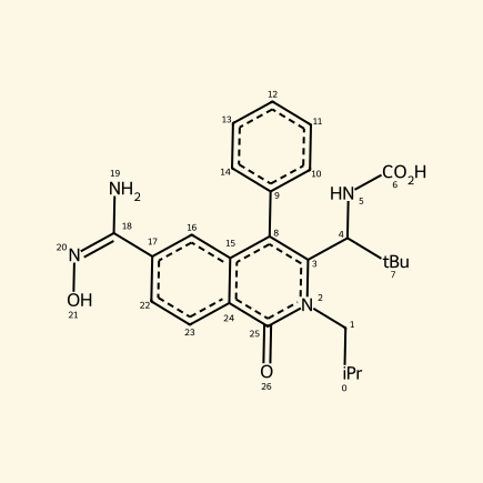 CC(C)Cn1c(C(NC(=O)O)C(C)(C)C)c(-c2ccccc2)c2cc(/C(N)=N\O)ccc2c1=O